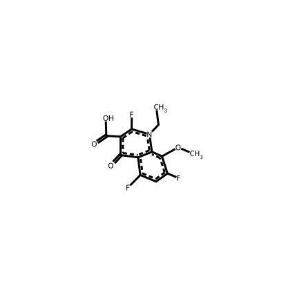 CCn1c(F)c(C(=O)O)c(=O)c2c(F)cc(F)c(OC)c21